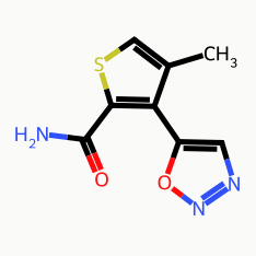 Cc1csc(C(N)=O)c1-c1cnno1